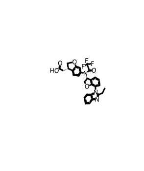 CCc1nc2ccccc2n1-c1cccc2c1OC[C@@H]2N(C(=O)C(F)(F)F)c1ccc2c(c1)OC[C@H]2CC(=O)O